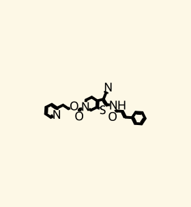 N#Cc1c(NC(=O)C=Cc2ccccc2)sc2c1CCN(C(=O)OCCc1ccccn1)C2